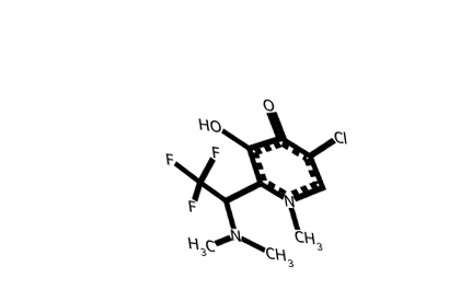 CN(C)C(c1c(O)c(=O)c(Cl)cn1C)C(F)(F)F